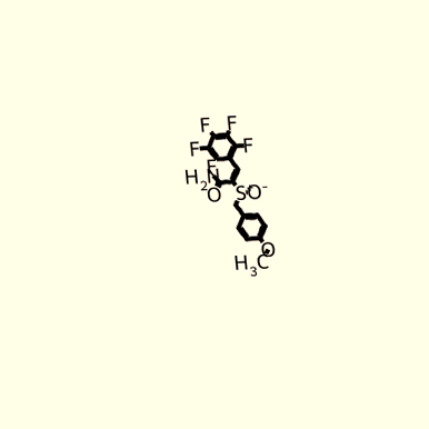 COc1ccc(C[S+]([O-])/C(=C/c2c(F)c(F)c(F)c(F)c2F)C(N)=O)cc1